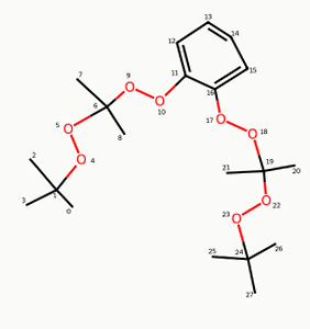 CC(C)(C)OOC(C)(C)OOc1ccccc1OOC(C)(C)OOC(C)(C)C